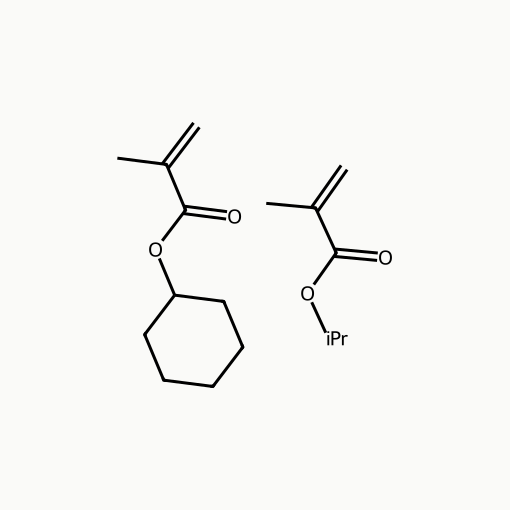 C=C(C)C(=O)OC(C)C.C=C(C)C(=O)OC1CCCCC1